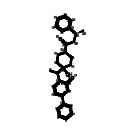 CC(n1cnc(-c2ccccc2)cc1=O)C1(O)CCN(C(=O)C[C@@H](C)c2ccccc2)CC1